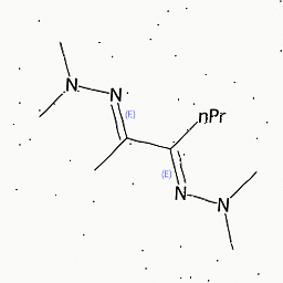 CCCC(=N\N(C)C)/C(C)=N/N(C)C